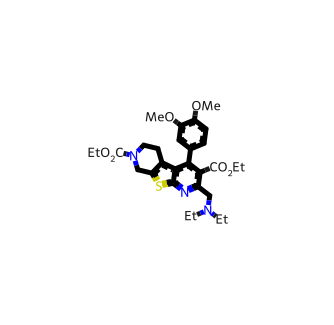 CCOC(=O)c1c(CN(CC)CC)nc2sc3c(c2c1-c1ccc(OC)c(OC)c1)CCN(C(=O)OCC)C3